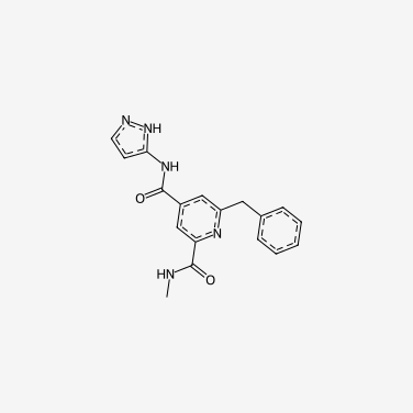 CNC(=O)c1cc(C(=O)Nc2ccn[nH]2)cc(Cc2ccccc2)n1